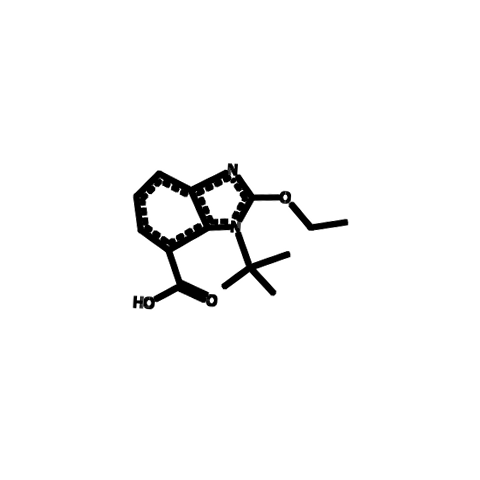 CCOc1nc2cccc(C(=O)O)c2n1C(C)(C)C